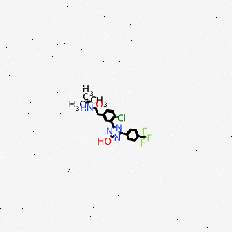 CC(C)(C)NC(=O)Cc1ccc(Cl)c(-c2nc(O)nc(-c3ccc(C(F)(F)F)cc3)n2)c1